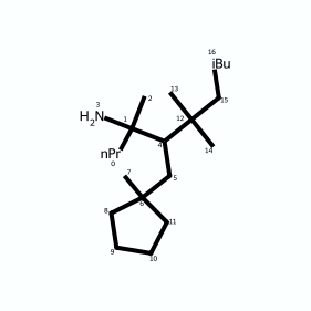 CCCC(C)(N)C(CC1(C)CCCC1)C(C)(C)CC(C)CC